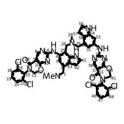 CNCc1cc(Nc2ncc3c(n2)OCN(c2c(Cl)cccc2Cl)C3=O)c(CN(C)Cc2cc(Nc3ncc4c(n3)OCN(c3c(Cl)cccc3Cl)C4=O)cc3[nH]ccc23)c2[nH]ccc12